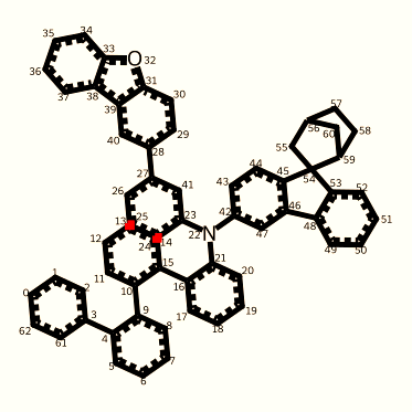 c1ccc(-c2ccccc2-c2ccccc2-c2ccccc2N(c2cccc(-c3ccc4oc5ccccc5c4c3)c2)c2ccc3c(c2)-c2ccccc2C32CC3CCC2C3)cc1